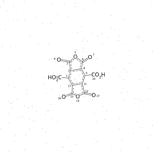 O=C(O)c1c2c(=O)oc(=O)c2c(C(=O)O)c2c(=O)oc(=O)c12